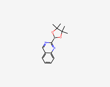 CC1(C)OB(c2ncc3ccccc3n2)OC1(C)C